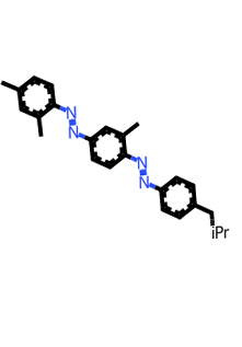 Cc1ccc(N=Nc2ccc(N=Nc3ccc(CC(C)C)cc3)c(C)c2)c(C)c1